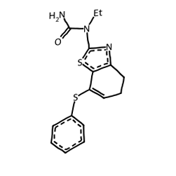 CCN(C(N)=O)c1nc2c(s1)C(Sc1ccccc1)=CCC2